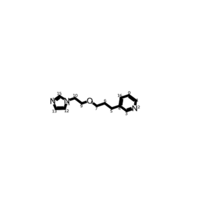 c1cncc(CCCOCCn2ccnc2)c1